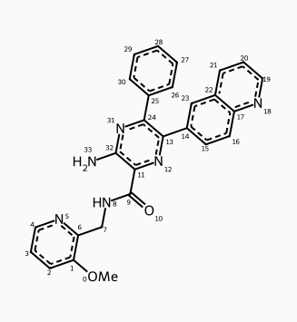 COc1cccnc1CNC(=O)c1nc(-c2ccc3ncccc3c2)c(-c2ccccc2)nc1N